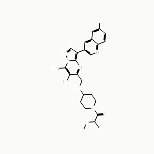 COC(C)C(=O)N1CCC(NCc2nc3c(-c4cnc5ccc(F)cc5c4)cnn3c(N)c2Br)CC1